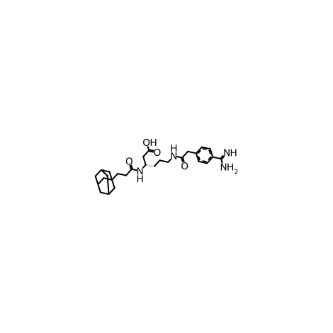 N=C(N)c1ccc(CC(=O)NCCC[C@@H](CC(=O)O)NC(=O)CCC23CC4CC(CC(C4)C2)C3)cc1